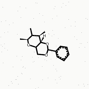 CC1[C@H](C)OC2COC(c3ccccc3)O[C@H]2[C@@H]1C